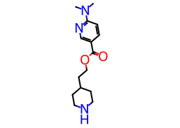 CN(C)c1ccc(C(=O)OCCC2CCNCC2)cn1